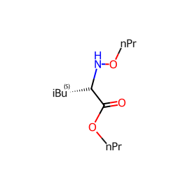 CCCONC(C(=O)OCCC)[C@@H](C)CC